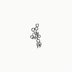 O=C(Nc1ccc(OC(F)(F)F)cc1)N1CC(Cc2ccccc2)(c2ccccc2)C(c2ccc(Cl)cc2)=N1